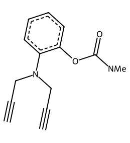 C#CCN(CC#C)c1ccccc1OC(=O)NC